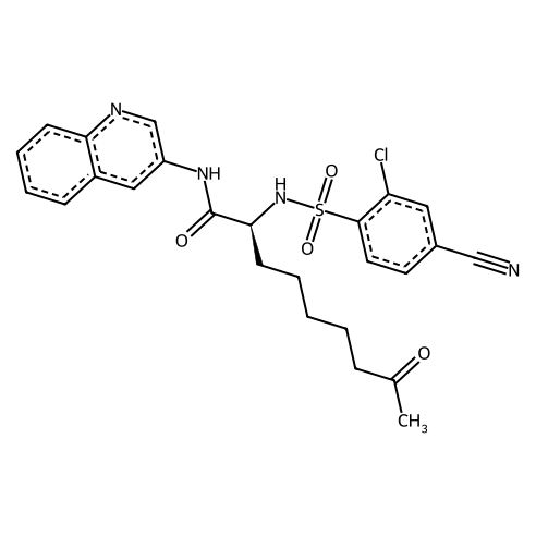 CC(=O)CCCCC[C@H](NS(=O)(=O)c1ccc(C#N)cc1Cl)C(=O)Nc1cnc2ccccc2c1